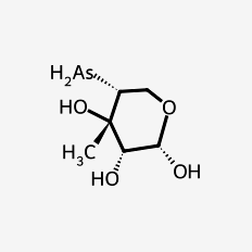 C[C@@]1(O)[C@H]([AsH2])CO[C@H](O)[C@@H]1O